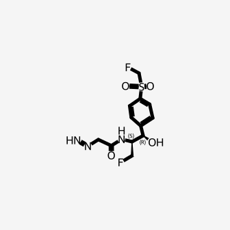 N=NCC(=O)N[C@H](CF)[C@H](O)c1ccc(S(=O)(=O)CF)cc1